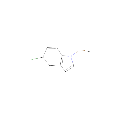 CSn1ccc2c1C=CC(Cl)C2